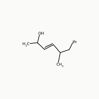 [CH2]C(O)C=CC(C)CC(C)C